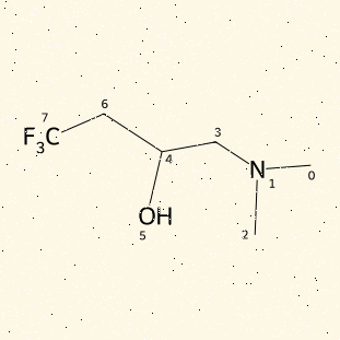 CN(C)CC(O)CC(F)(F)F